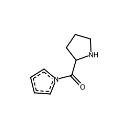 O=C(C1CCCN1)n1cccc1